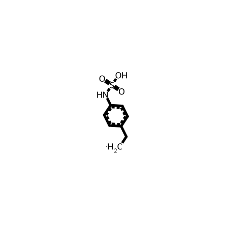 [CH2]Cc1ccc(NS(=O)(=O)O)cc1